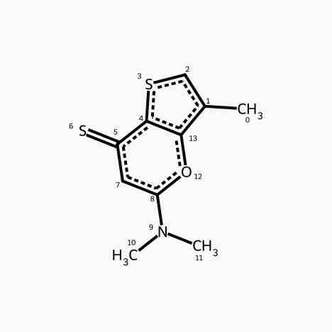 Cc1csc2c(=S)cc(N(C)C)oc12